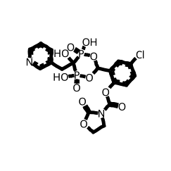 O=C1OCCN1C(=O)Oc1ccc(Cl)cc1C1OP(=O)(O)C(O)(Cc2cccnc2)P(=O)(O)O1